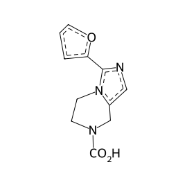 O=C(O)N1CCn2c(cnc2-c2ccco2)C1